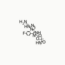 CNC(=O)C1(C)COC(c2nc(-c3ccc(F)cc3)c(-c3ccnc(NCCN)n3)[nH]2)OC1